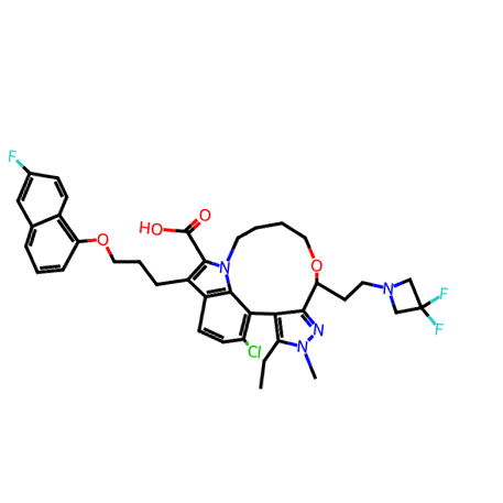 CCc1c2c(nn1C)C(CCN1CC(F)(F)C1)OCCCCn1c(C(=O)O)c(CCCOc3cccc4cc(F)ccc34)c3ccc(Cl)c-2c31